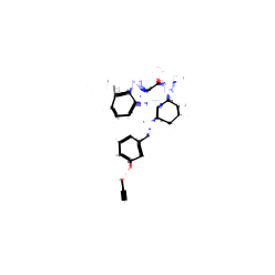 C#CCOc1cccc(CNC2CCCC(N(CC)C(=O)c3nc4c([N+](=O)[O-])cccc4[nH]3)C2)c1